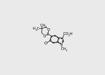 Cn1cc(C(=O)O)c2cc(B3OCC(C)(C)CO3)c(Cl)cc21